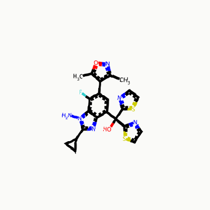 Cc1noc(C)c1-c1cc(C(O)(c2nccs2)c2nccs2)c2nc(C3CC3)n(N)c2c1F